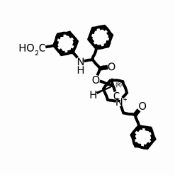 O=C(O)c1cccc(NC(C(=O)O[C@H]2C[N+]3(CC(=O)c4ccccc4)CCC2CC3)c2ccccc2)c1